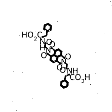 O=C(CN1C(=O)c2ccc3c4c(ccc(c24)C1=O)C(=O)N(CC(=O)NC(Cc1ccccc1)C(=O)O)C3=O)NC(Cc1ccccc1)C(=O)O